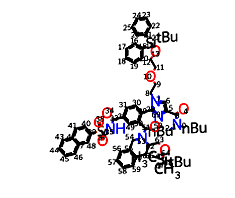 CCCCN(CCCC)C(=O)c1cn(CCOCCO[Si](c2ccccc2)(c2ccccc2)C(C)(C)C)c(-c2ccc(C(=O)NS(=O)(=O)c3ccc4ccccc4c3)cc2C(=O)N2Cc3ccccc3CC2CO[Si](C)(C)C(C)(C)C)n1